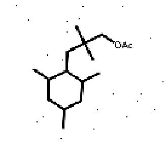 CC(=O)OCC(C)(C)CC1C(C)CC(C)CC1C